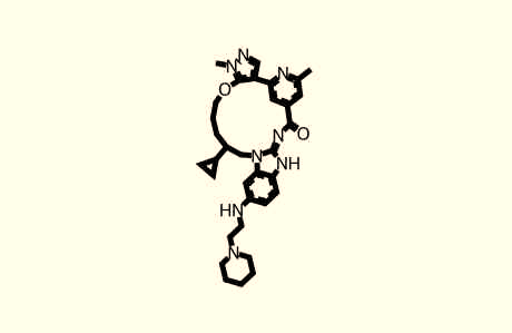 Cc1cc2cc(n1)-c1cnn(C)c1OCCCC(C1CC1)CN1/C(=N/C2=O)Nc2ccc(NCCN3CCCCC3)cc21